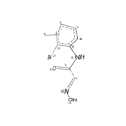 Cc1cccc(NC(=O)C=NO)c1Br